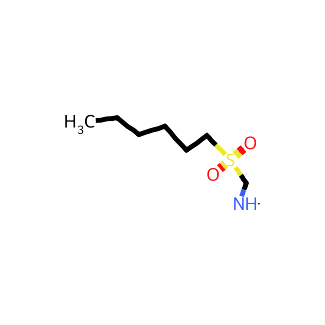 CCCCCCS(=O)(=O)C[NH]